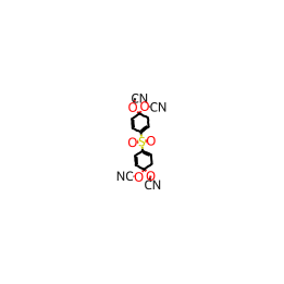 N#COC1(OC#N)C=CC(S(=O)(=O)C2=CCC(OC#N)(OC#N)C=C2)=CC1